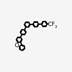 FC(F)(F)c1ccc(-c2ccc(-c3cccc(-c4ccc(-c5ccc6oc7ccccc7c6c5)cc4)c3)cc2)cc1